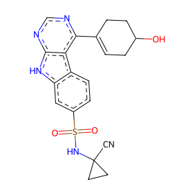 N#CC1(NS(=O)(=O)c2ccc3c(c2)[nH]c2ncnc(C4=CCC(O)CC4)c23)CC1